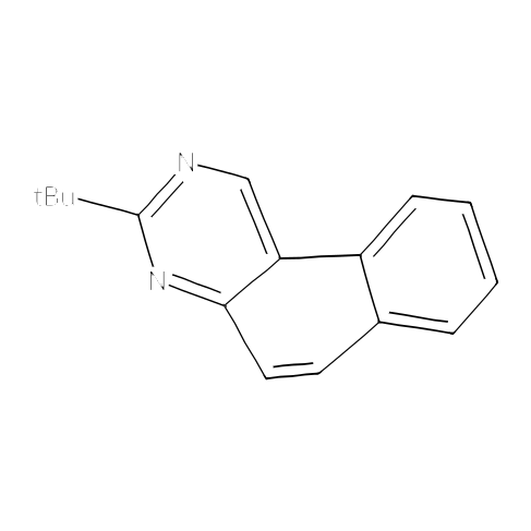 CC(C)(C)c1ncc2c(ccc3ccccc32)n1